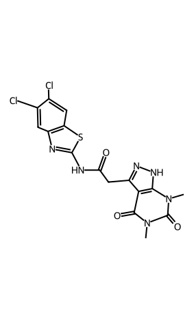 Cn1c(=O)c2c(CC(=O)Nc3nc4cc(Cl)c(Cl)cc4s3)n[nH]c2n(C)c1=O